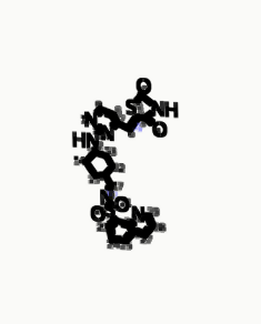 O=C1NC(=O)/C(=C/c2ccnc(NC3CCC(/C=N/S(=O)(=O)c4cccc5cccnc45)CC3)n2)S1